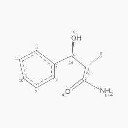 C[C@H](C(N)=O)[C@H](O)c1ccccc1